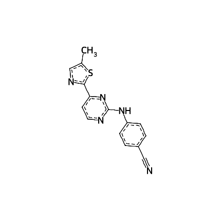 Cc1cnc(-c2ccnc(Nc3ccc(C#N)cc3)n2)s1